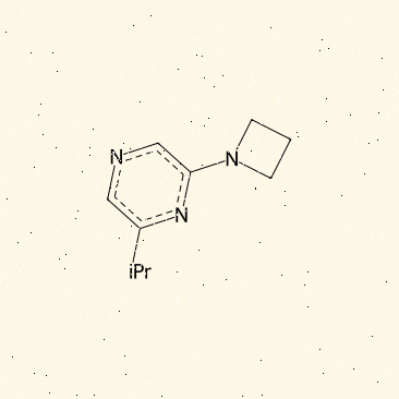 CC(C)c1cncc(N2CCC2)n1